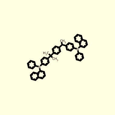 CC(c1ccc(N(c2ccccc2)c2cccc3ccccc23)cc1)c1ccc(C(C)(C)c2ccc(N(c3ccccc3)c3cccc4ccccc34)cc2)cc1